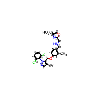 Cc1cc(OCc2c(C(C)C)cnn2-c2c(Cl)cccc2Cl)ccc1CNCc1nc(C(=O)O)co1